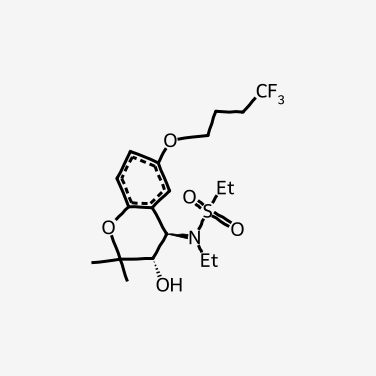 CCN([C@@H]1c2cc(OCCCC(F)(F)F)ccc2OC(C)(C)[C@H]1O)S(=O)(=O)CC